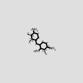 CCCC1C(CC2CCC(N)[C@H](C)[C@@H]2C)CCC(N)[C@H]1C